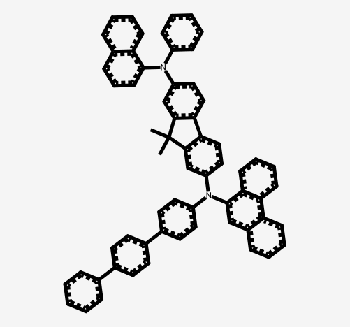 CC1(C)c2cc(N(c3ccccc3)c3cccc4ccccc34)ccc2-c2ccc(N(c3ccc(-c4ccc(-c5ccccc5)cc4)cc3)c3cc4ccccc4c4ccccc34)cc21